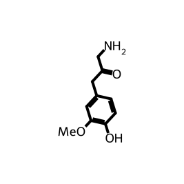 COc1cc(CC(=O)CN)ccc1O